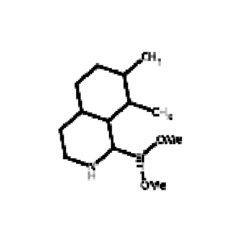 CO[SiH](OC)C1NCCC2CCC(C)C(C)C21